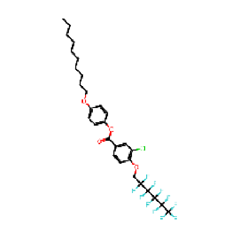 CCCCCCCCCCOc1ccc(OC(=O)c2ccc(OCC(F)(F)C(F)(F)C(F)(F)C(F)(F)C(F)(F)F)c(Cl)c2)cc1